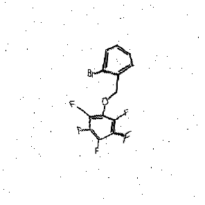 Fc1c(F)c(F)c(OCc2ccccc2Br)c(F)c1F